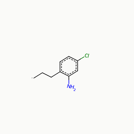 [CH2]CCc1ccc(Cl)cc1N